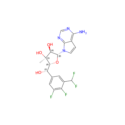 C[C@@]1(O)[C@@H]([C@@H](O)c2cc(F)c(F)c(C(F)F)c2)O[C@@H](n2ccc3c(N)ncnc32)[C@@H]1O